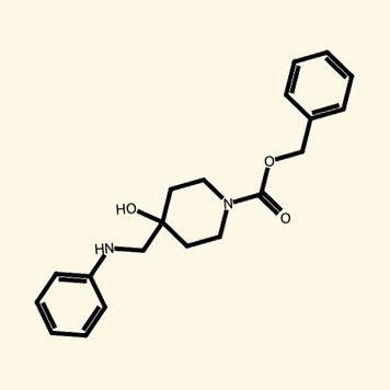 O=C(OCc1ccccc1)N1CCC(O)(CNc2ccccc2)CC1